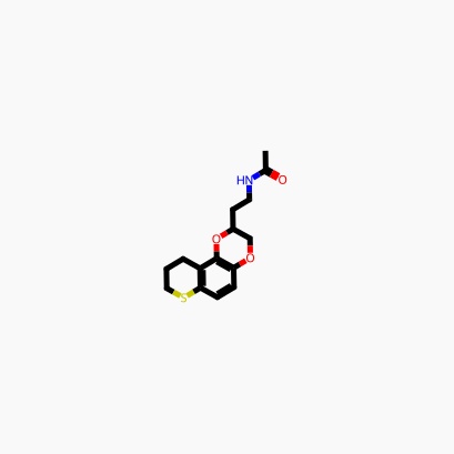 CC(=O)NCCC1COc2ccc3c(c2O1)CCCS3